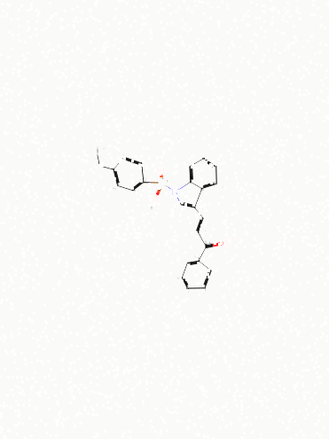 CC(C)Cc1ccc(S(=O)(=O)n2cc(/C=C/C(=O)c3ccccc3)c3ccccc32)cc1